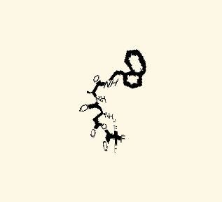 C[C@H](NC(=O)[C@@H](N)CC(=O)OC(=O)C(F)(F)F)C(=O)NCc1cccc2ccccc12